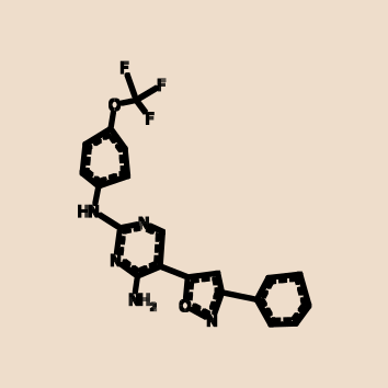 Nc1nc(Nc2ccc(OC(F)(F)F)cc2)ncc1-c1cc(-c2ccccc2)no1